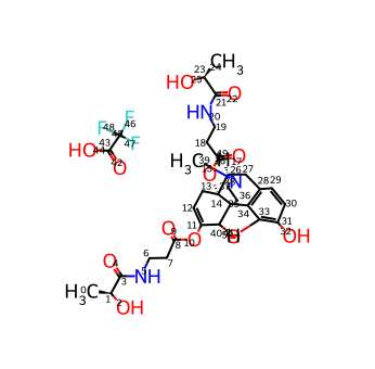 C[C@H](O)C(=O)NCCC(=O)OC1=CC[C@@]2(OC(=O)CCNC(=O)[C@H](C)O)[C@H]3Cc4ccc(O)c5c4[C@@]2(CCN3C)[C@H]1O5.O=C(O)C(F)(F)F